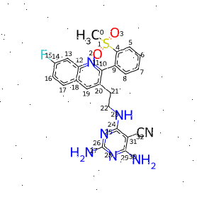 CS(=O)(=O)c1ccccc1-c1nc2cc(F)ccc2cc1CCNc1nc(N)nc(N)c1C#N